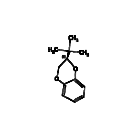 CC(C)(C)[C@@H]1COc2ccccc2O1